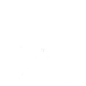 CCCCCCCCCCCCCCCCCC[N+](CCC)(CCCCCCCCCCCCCCCCCC)CCCCCCCCCCCCCCCCCC.[I-]